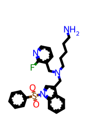 NCCCCCN(Cc1cccnc1F)Cc1cn(S(=O)(=O)c2ccccc2)c2ccccc12